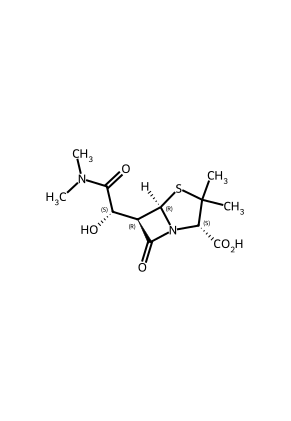 CN(C)C(=O)[C@@H](O)[C@@H]1C(=O)N2[C@@H]1SC(C)(C)[C@@H]2C(=O)O